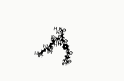 CC(C)NCCCC[C@H](NC(=O)CCC(=O)N[C@H](C(=O)N[C@@H](CCCNC(N)=O)C(=O)Nc1ccc(COC(=O)N2CC(N(C)C(=O)C(C)C)C2)cc1)C(C)C)C(=O)C(C)C